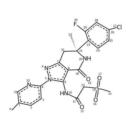 Cc1ccc(-n2nc3c(c2NC(=O)CS(C)(=O)=O)C(=O)N[C@](C)(c2ccc(Cl)cc2F)C3)nc1